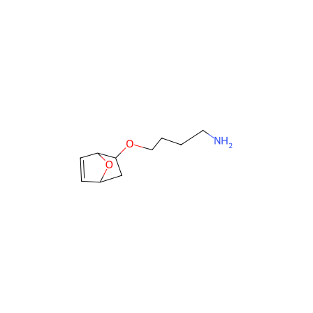 NCCCCOC1CC2C=CC1O2